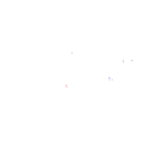 CCCCCCCCN1CCCCC1.O=C(O)C(F)(F)F